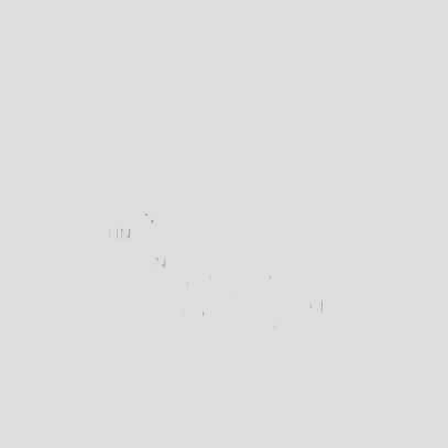 CC1OCC(C)(C(=O)C=C(c2ccc(Cl)cc2)c2nc[nH]n2)CO1